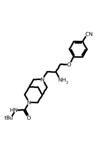 CC(C)(C)NC(=O)N1CC2CC(CN(CC(N)COc3ccc(C#N)cc3)C2)C1